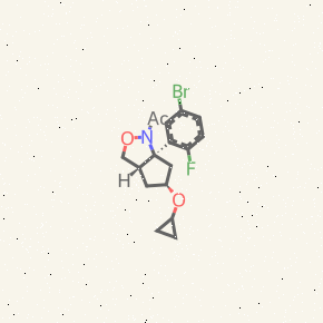 CC(=O)N1OC[C@H]2C[C@H](OC3CC3)C[C@@]21c1cc(Br)ccc1F